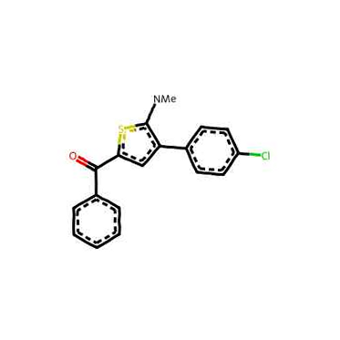 CNc1sc(C(=O)c2ccccc2)cc1-c1ccc(Cl)cc1